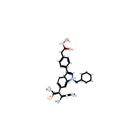 C=C=C(C)/C(C1=CCC2C(c3ccc(CC(=O)OC)cc3)=CN(CC3CCCCC3)C2=C1)=C(/C)P